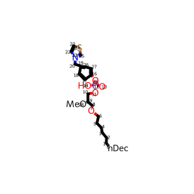 CCCCCCCCCCCCCCCCOCC(COP(=O)(O)Oc1ccc(C[n+]2ccsc2)cc1)OC